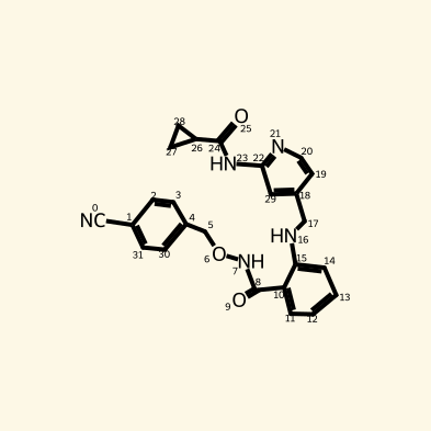 N#Cc1ccc(CONC(=O)c2ccccc2NCc2ccnc(NC(=O)C3CC3)c2)cc1